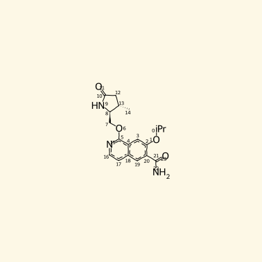 CC(C)Oc1cc2c(OC[C@H]3NC(=O)C[C@@H]3C)nccc2cc1C(N)=O